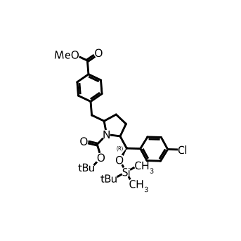 COC(=O)c1ccc(CC2CCC([C@H](O[Si](C)(C)C(C)(C)C)c3ccc(Cl)cc3)N2C(=O)OC(C)(C)C)cc1